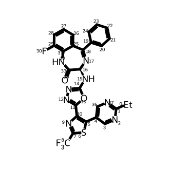 CCc1ncc(-c2sc(C(F)(F)F)nc2-c2nnc(N[C@@H]3N=C(c4ccccc4)c4cccc(F)c4NC3=O)o2)cn1